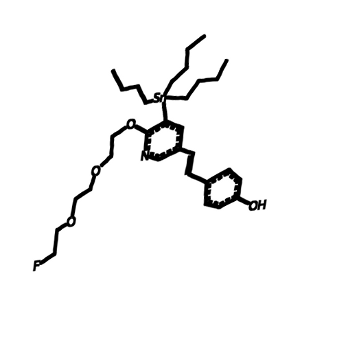 CCC[CH2][Sn]([CH2]CCC)([CH2]CCC)[c]1cc(/C=C/c2ccc(O)cc2)cnc1OCCOCCOCCF